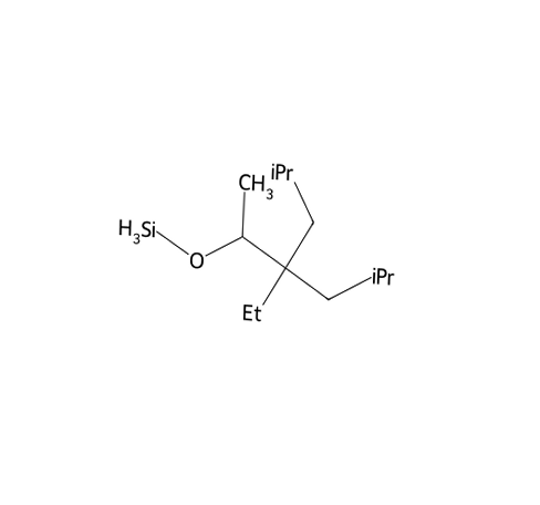 CCC(CC(C)C)(CC(C)C)C(C)O[SiH3]